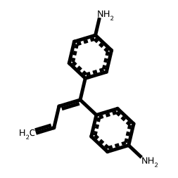 C=CC=C(c1ccc(N)cc1)c1ccc(N)cc1